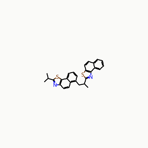 CC(C)c1nc2ccc3c(CC(C)c4nc5c(ccc6ccccc65)s4)cccc3c2s1